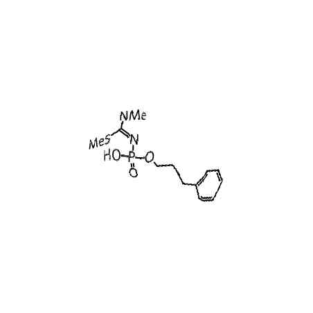 CNC(=NP(=O)(O)OCCCc1ccccc1)SC